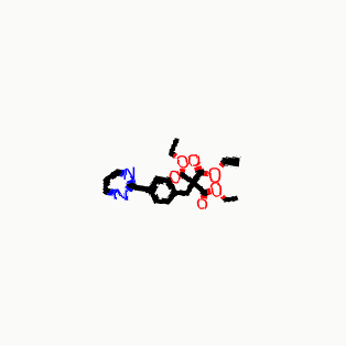 CCOC(=O)C(Cc1ccc(-c2ncccn2)cc1)(C(=O)OCC)C(=O)OCC